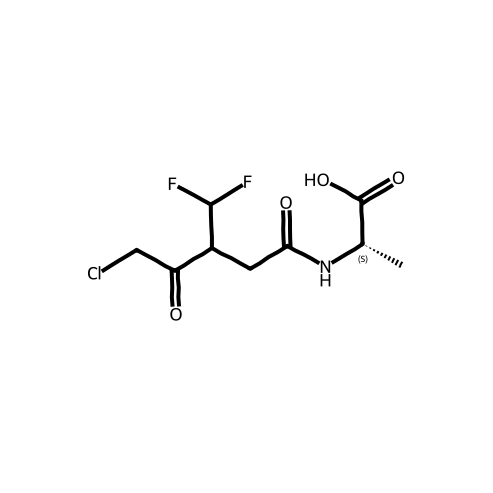 C[C@H](NC(=O)CC(C(=O)CCl)C(F)F)C(=O)O